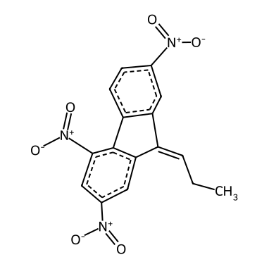 CCC=C1c2cc([N+](=O)[O-])ccc2-c2c1cc([N+](=O)[O-])cc2[N+](=O)[O-]